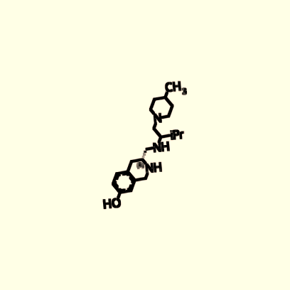 CC1CCN(CC(NC[C@H]2Cc3ccc(O)cc3CN2)C(C)C)CC1